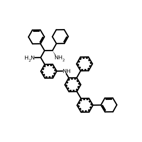 NC(c1cccc(Nc2ccc(-c3cccc(C4=CCCC=C4)c3)cc2-c2ccccc2)c1)C(C1=CC=CCC1)[C@@H](N)C1C=CCCC1